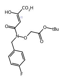 CC(C)(C)OC(=O)CON(Cc1ccc(F)cc1)C(=O)/C=C(\O)C(=O)O